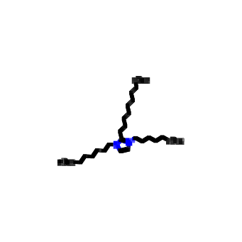 CCCCCCCCCCCCCCCCCCc1n(CCCCCCCCCCCCCCCC)cc[n+]1CCCCCCCCCCCCCCC